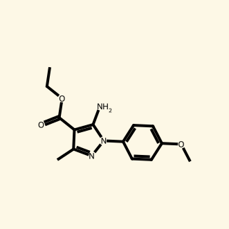 CCOC(=O)c1c(C)nn(-c2ccc(OC)cc2)c1N